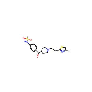 Cc1csc(CCN2CCC(C(=O)c3ccc(NS(C)(=O)=O)cc3)CC2)n1